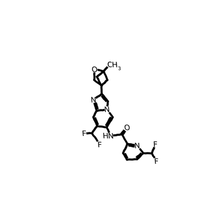 CC12CC(c3cn4cc(NC(=O)c5cccc(C(F)F)n5)c(C(F)F)cc4n3)(CO1)C2